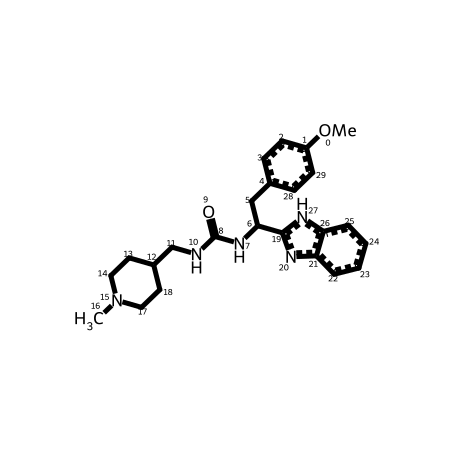 COc1ccc(CC(NC(=O)NCC2CCN(C)CC2)c2nc3ccccc3[nH]2)cc1